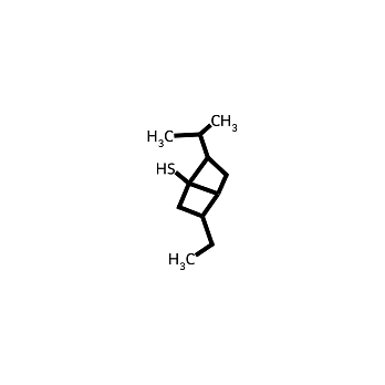 CCC1CC2(S)C(C(C)C)CC12